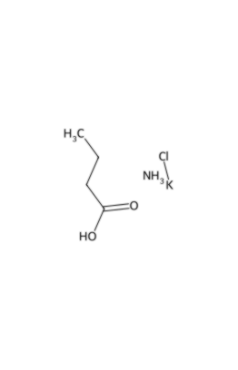 CCCC(=O)O.N.[Cl][K]